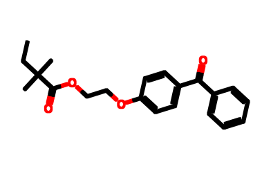 CCC(C)(C)C(=O)OCCOc1ccc(C(=O)c2ccccc2)cc1